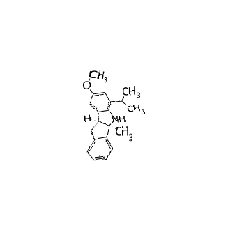 COc1cc(C(C)C)c2c(c1)[C@@H]1Cc3ccccc3[C@]1(C)N2